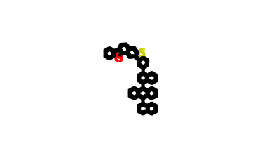 c1ccc2c(-c3c4ccccc4c(-c4ccc(-c5ccc6sc7cc8ccc9c%10ccccc%10oc9c8cc7c6c5)c5ccccc45)c4ccccc34)cccc2c1